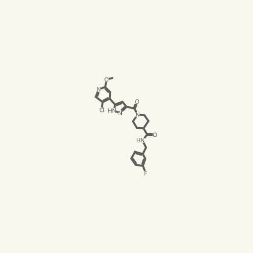 COc1cc(-c2cc(C(=O)N3CCC(C(=O)NCc4cccc(F)c4)CC3)n[nH]2)c(Cl)cn1